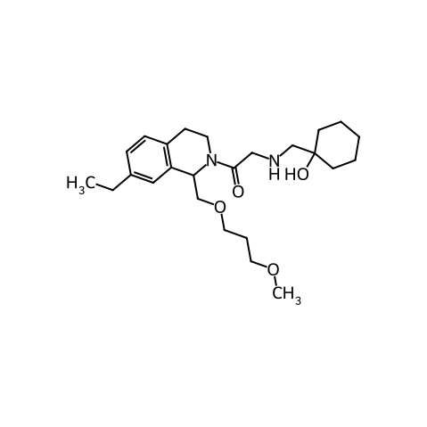 CCc1ccc2c(c1)C(COCCCOC)N(C(=O)CNCC1(O)CCCCC1)CC2